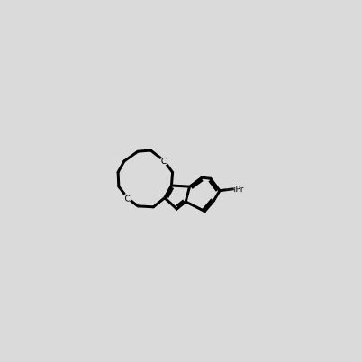 CC(C)c1ccc2cc3c(c-2cc1)CCCCCCCCCC3